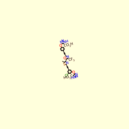 Cc1sc(C#Cc2cc(Cl)cc(Oc3nn[nH]c3C(=O)O)c2)nc1-c1oc(C#Cc2ccc(Oc3nn[nH]c3C(=O)O)cc2)nc1C(F)(F)F